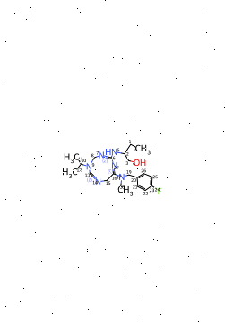 CCC(CO)NC1=N/CN(C(C)C)/C=N\C/C(N(C)Cc2ccc(F)cc2)=N\1